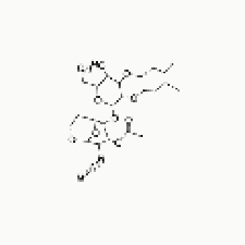 CCCCOC1C(OC2C3CCOC(O3)C(N=[N+]=[N-])C2OC(C)=O)OC(CO)C(O)C1OCCCC